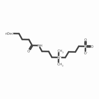 CCCCCCCCCCCCCC(=O)NCCC[N+](C)(C)CCCCS(=O)(=O)[O-]